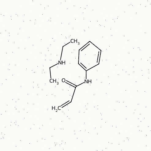 C=CC(=O)Nc1ccccc1.CCNCC